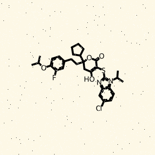 CC(C)Oc1ccc(CCC2(C3CCCC3)CC(O)=C(Sc3nc4cc(Cl)ccc4n3C(C)C)C(=O)O2)cc1F